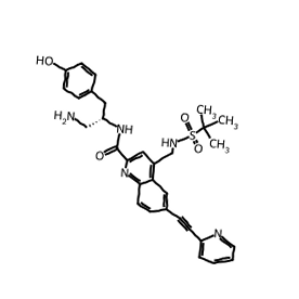 CC(C)(C)S(=O)(=O)NCc1cc(C(=O)N[C@H](CN)Cc2ccc(O)cc2)nc2ccc(C#Cc3ccccn3)cc12